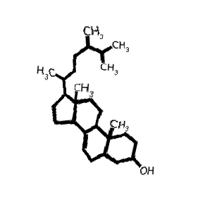 CC(C)C(C)CCC(C)C1CCC2C3=CCC4CC(O)CCC4(C)C3CCC21C